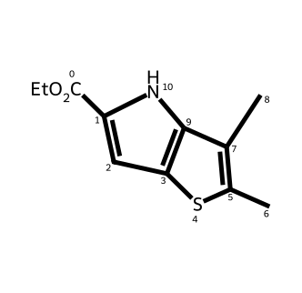 CCOC(=O)c1cc2sc(C)c(C)c2[nH]1